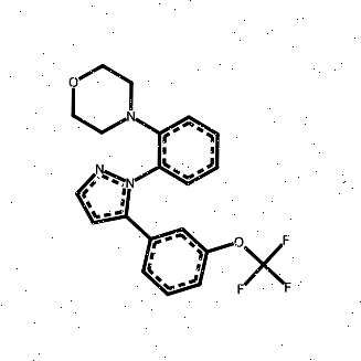 FC(F)(F)Oc1cccc(-c2ccnn2-c2ccccc2N2CCOCC2)c1